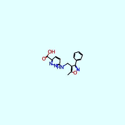 Cc1onc(-c2ccccc2)c1CNc1ccc(C(=O)O)nn1